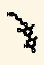 CC1CC(=O)NN=C1c1cc(F)c(OCCCCO)c(Cl)c1